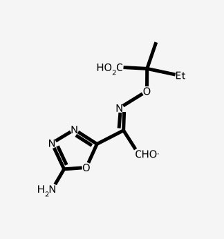 CCC(C)(ON=C([C]=O)c1nnc(N)o1)C(=O)O